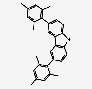 Cc1cc(C)c(-c2ccc3c(c2)-c2cc(-c4c(C)cc(C)cc4C)ccc2[N]3)c(C)c1